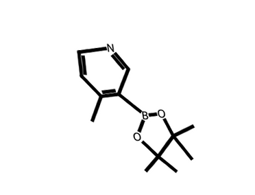 Cc1ccncc1B1OC(C)(C)C(C)(C)O1